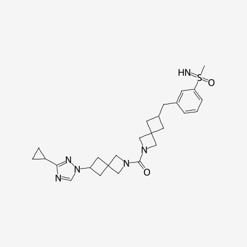 CS(=N)(=O)c1cccc(CC2CC3(C2)CN(C(=O)N2CC4(CC(n5cnc(C6CC6)n5)C4)C2)C3)c1